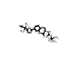 CC(C)(C)OC(=O)N[C@H]1CSc2ccc(-c3nnc(C(C)(C)C#N)o3)cc2NC1=O